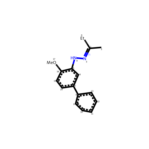 CC/C(C)=N\Nc1cc(-c2ccccc2)ccc1OC